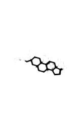 CCOC[C@@]1(O)CC[C@]2(C)C3=CC[C@]4(C)C(=O)CC[C@H]4[C@@H]3CC[C@@H]2C1